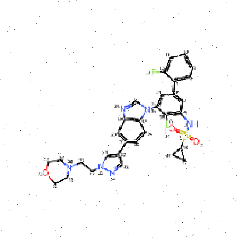 O=S(=O)(Nc1cc(-c2ccccc2F)cc(-n2cnc3cc(-c4cnn(CCN5CCOCC5)c4)ccc32)c1F)C1CC1